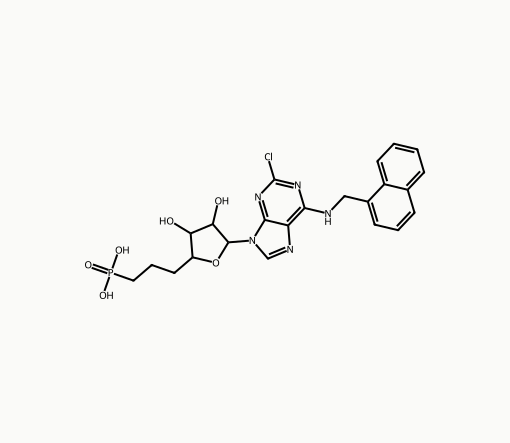 O=P(O)(O)CCCC1OC(n2cnc3c(NCc4cccc5ccccc45)nc(Cl)nc32)C(O)C1O